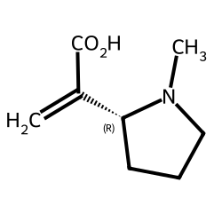 C=C(C(=O)O)[C@H]1CCCN1C